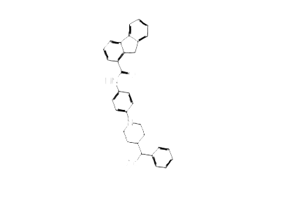 CC(=O)C(c1ccccc1)C1CCN(c2ccc(NC(=O)c3cccc4c3Cc3ccccc3-4)cc2)CC1